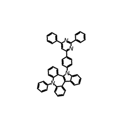 c1ccc(-c2cc(-c3ccc(-n4c5c(c6ccccc64)-c4ccccc4N(c4ccccc4)c4ccccc4-5)cc3)nc(-c3ccccc3)n2)cc1